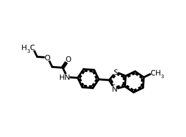 CCOCC(=O)Nc1ccc(-c2nc3ccc(C)cc3s2)cc1